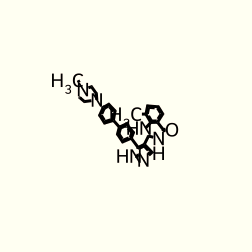 Cc1cccc2c1NC(c1cn[nH]c1-c1ccc(-c3ccc(N4CCN(C)CC4)cc3)cc1)NC2=O